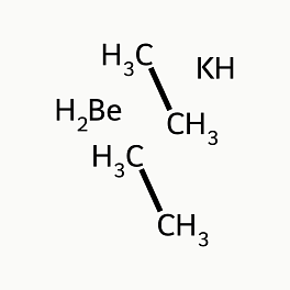 CC.CC.[BeH2].[KH]